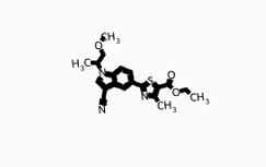 CCOC(=O)c1sc(-c2ccc3c(c2)c(C#N)cn3C(C)COC)nc1C